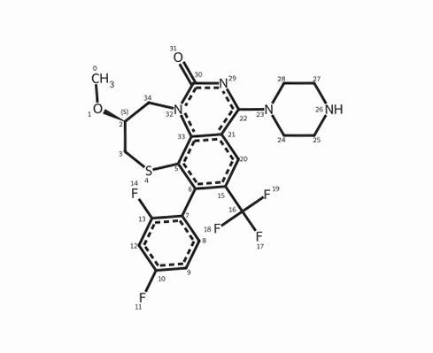 CO[C@@H]1CSc2c(-c3ccc(F)cc3F)c(C(F)(F)F)cc3c(N4CCNCC4)nc(=O)n(c23)C1